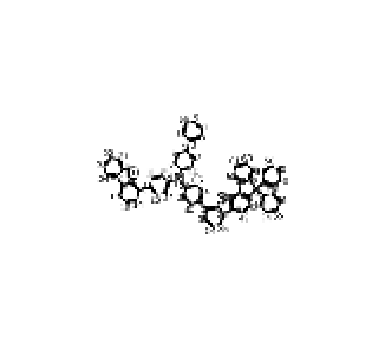 c1ccc(-c2ccc(N(c3ccc(-c4cccc5c4oc4ccccc45)cc3)c3ccc(-c4cccc5c4sc4c6c(ccc45)C(c4ccccc4)(c4ccccc4)c4ccccc4-6)cc3)cc2)cc1